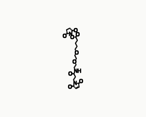 O=C(CCN1C(=O)C=CC1=O)NCCOCCOCCCCC(=O)ON1C(=O)CCC1=O